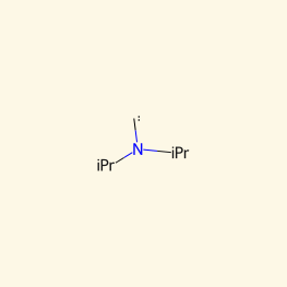 [CH]N(C(C)C)C(C)C